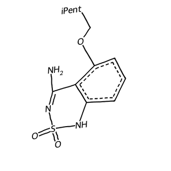 CCCC(C)COc1cccc2c1C(N)=NS(=O)(=O)N2